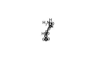 Nc1cc2c(ncn2COCCOC(=O)Nc2ccc(N3C(=O)C=CC3=O)cc2)c(=O)[nH]1